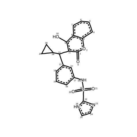 O=c1oc2ccccc2c(O)c1C(c1cccc(NS(=O)(=O)c2ncc[nH]2)c1)C1CC1